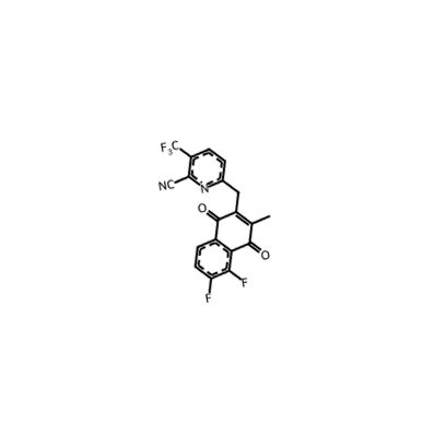 CC1=C(Cc2ccc(C(F)(F)F)c(C#N)n2)C(=O)c2ccc(F)c(F)c2C1=O